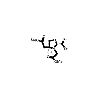 CCC(CC)[C@H]1OC[C@@](C)(CC(=O)OC)N1CC(=O)OC